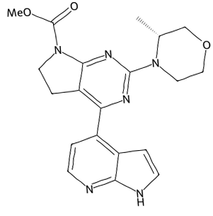 COC(=O)N1CCc2c(-c3ccnc4[nH]ccc34)nc(N3CCOC[C@H]3C)nc21